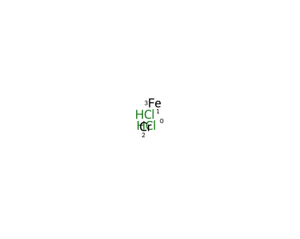 Cl.Cl.[Cr].[Fe]